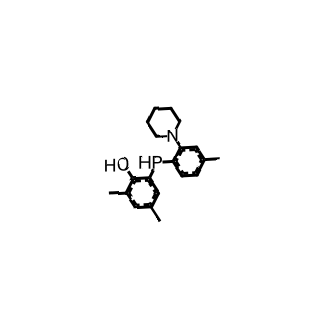 Cc1cc(C)c(O)c(Pc2ccc(C)cc2N2CCCCC2)c1